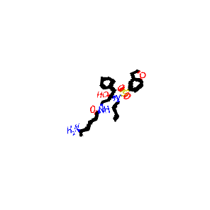 CCCCN(C(O)(CCNC(=O)CCCC(C)N)Cc1ccccc1)S(=O)(=O)c1ccc2c(c1)CCO2